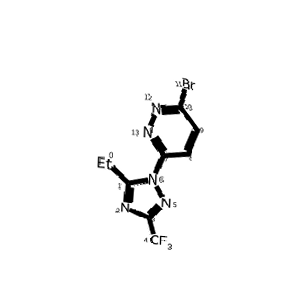 CCc1nc(C(F)(F)F)nn1-c1ccc(Br)nn1